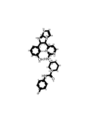 O=C(Nc1ccc(F)cc1)N1CCC[C@@H](Nc2nccc(C3C(c4cccc(O)c4)N=C4SC=CN43)n2)C1